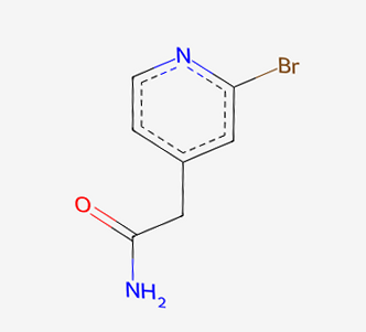 NC(=O)Cc1ccnc(Br)c1